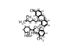 CCCCN1CCCCC1C(=O)Nc1c(C)cccc1C.CN(C)CCCN1c2ccccc2Sc2ccc(Cl)cc21